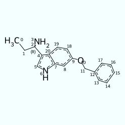 CC[C@@H](N)c1c[nH]c2cc(OCc3ccccc3)ccc12